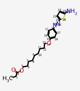 CCC(=O)OCCCCCCCCCOc1ccc(N=Nc2ccc(N)s2)cc1